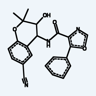 CC1(C)Oc2ccc(C#N)cc2C(NC(=O)c2ncoc2-c2ccccc2)C1O